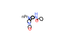 CCCn1c2c(c3cc(NC(=O)C4CCCCC4)ccc31)CN(C1CCOCC1)CC2